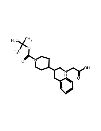 CC(C)(C)OC(=O)N1CCC(C(CNCC(=O)O)Cc2ccccc2)CC1